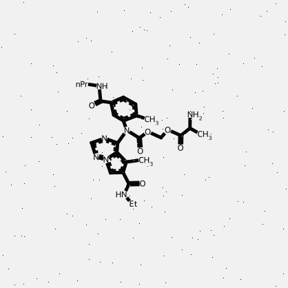 CCCNC(=O)c1ccc(C)c(N(C(=O)OCOC(=O)C(C)N)c2ncnn3cc(C(=O)NCC)c(C)c23)c1